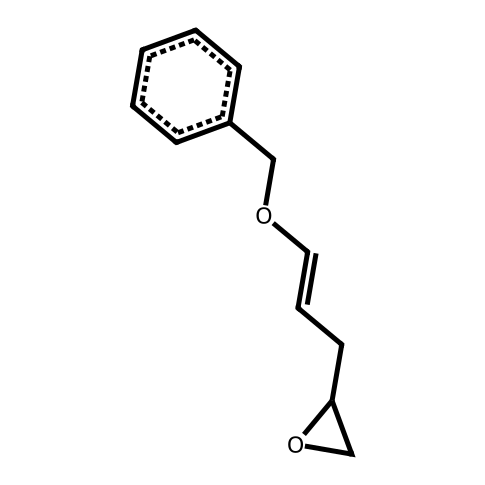 C(=COCc1ccccc1)CC1CO1